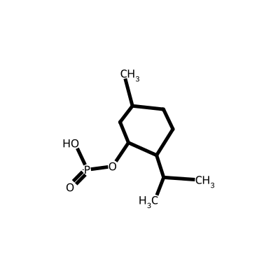 CC1CCC(C(C)C)C(O[P](=O)O)C1